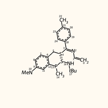 C=C/N=C(\SCc1ccc(NC)cc1P(C)SNC(C)(C)C)c1ccc(C)cc1